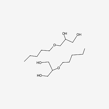 CCCCCOC(CO)CO.CCCCCOCC(O)CO